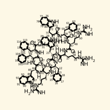 N=C(N)NCCC[C@H](NC(=O)[C@H](Cc1ccccc1)NC(=O)[C@H](Cc1c[nH]c2ccccc12)NC(=O)[C@H](CCCNC(=N)N)NC(=O)[C@H](CCCNC(=N)N)NC(=O)[C@H](Cc1ccccc1)NC(=O)[C@@H](N)Cc1c[nH]c2ccccc12)C(=O)N[C@@H](Cc1c[nH]c2ccccc12)C(=O)N[C@@H](Cc1ccccc1)C(=O)N[C@@H](Cc1ccccc1)C(=O)O